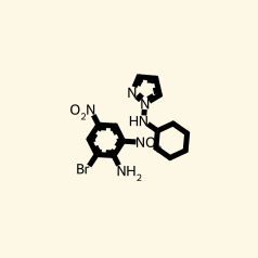 Nc1c(Br)cc([N+](=O)[O-])cc1[N+](=O)[O-].c1cnn(NC2CCCCC2)c1